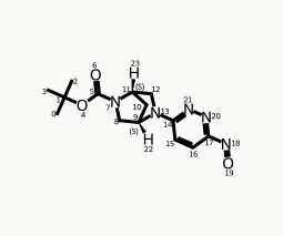 CC(C)(C)OC(=O)N1C[C@@H]2C[C@H]1CN2c1ccc(N=O)nn1